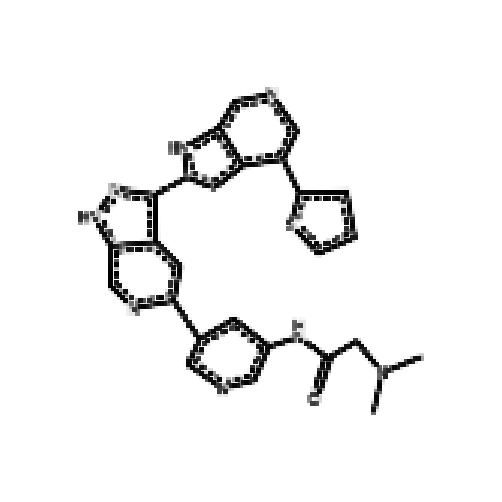 CN(C)CC(=O)Nc1cncc(-c2cc3c(-c4cc5c(-c6cccs6)cncc5[nH]4)n[nH]c3cn2)c1